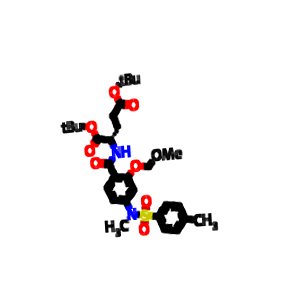 COCOc1cc(N(C)S(=O)(=O)c2ccc(C)cc2)ccc1C(=O)N[C@@H](CCC(=O)OC(C)(C)C)C(=O)OC(C)(C)C